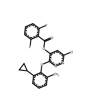 Cc1cccc(C2CC2)c1Oc1nnc(Cl)cc1OC(=O)c1c(F)cccc1F